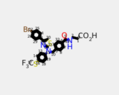 O=C(O)CCNC(=O)c1ccc(CN(c2ccc(SC(F)(F)F)cc2)c2nc(-c3ccc(Br)cc3)cs2)cc1